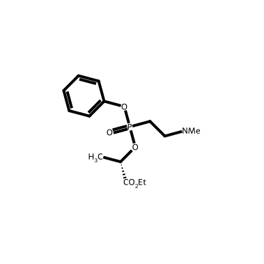 CCOC(=O)[C@H](C)OP(=O)(CCNC)Oc1ccccc1